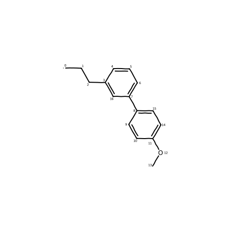 [CH2]CCc1cccc(-c2ccc(OC)cc2)c1